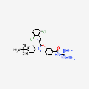 CC(C)(C)C1CCC(N(Cc2ccc(C(=O)N/C(N=N)=N/N)cc2)C(=O)/C=C/c2c(Cl)cccc2Cl)CC1